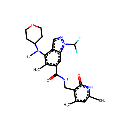 CCN(c1c(C)c(C(=O)NCc2c(C)cc(C)[nH]c2=O)cc2c1cnn2C(F)F)C1CCOCC1